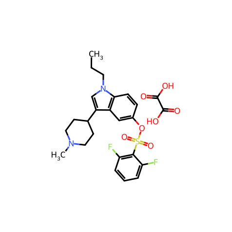 CCCn1cc(C2CCN(C)CC2)c2cc(OS(=O)(=O)c3c(F)cccc3F)ccc21.O=C(O)C(=O)O